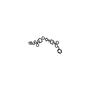 CC(C)(C)OC(=O)N1CCC(O[C@H]2C[C@H](N3CCN(C(=O)OCc4ccccc4)CC3)C2)CC1